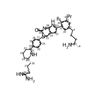 CC(C)c1cc(CCC[C@H](C)N)cc(-c2cc3cn(-c4ccc([C@@H]5CCC[C@@H](CCSC(=N)N)N5)cc4)c(=O)nc3[nH]2)c1F